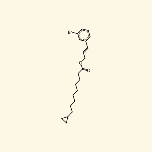 O=C(CCCCCCCCC1CC1)OC/C=C/c1cccc(Br)c1